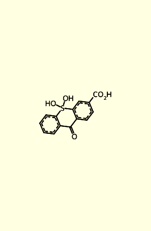 O=C(O)c1ccc2c(c1)S(O)(O)c1ccccc1C2=O